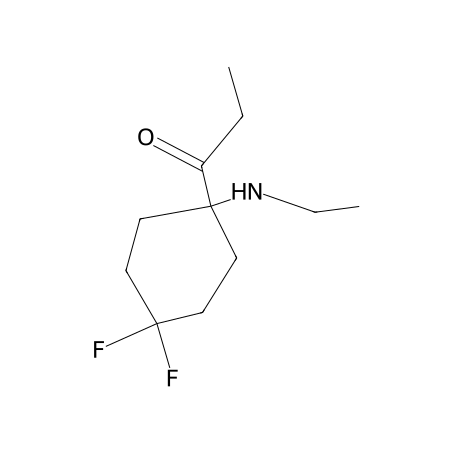 CCNC1(C(=O)CC)CCC(F)(F)CC1